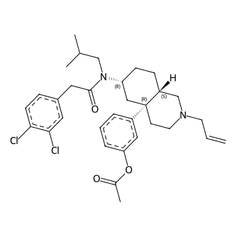 C=CCN1CC[C@@]2(c3cccc(OC(C)=O)c3)C[C@H](N(CC(C)C)C(=O)Cc3ccc(Cl)c(Cl)c3)CC[C@@H]2C1